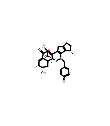 C[C@@H]1C=C2C(=O)C=C3C4=C(C5=C(CC[C@@H]5Cl)C4)N(Cc4ccc(Cl)cc4)O[C@]3(C(=O)CO)[C@@]2(C)C[C@@H]1O